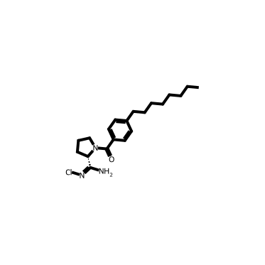 CCCCCCCCc1ccc(C(=O)N2CCC[C@H]2/C(N)=N\Cl)cc1